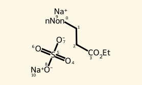 CCCCCCCCCCCC(=O)OCC.O=S(=O)([O-])[O-].[Na+].[Na+]